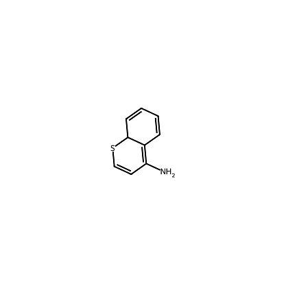 NC1=C2C=CC=CC2SC=C1